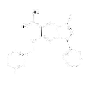 Cc1cccc(COc2nc3c(cc2C(=N)N)c(C)nn3-c2ccccc2)c1